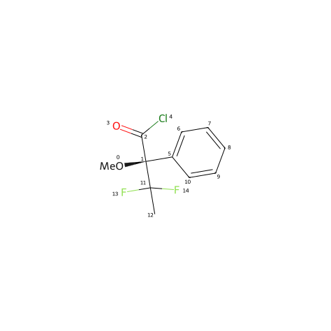 CO[C@@](C(=O)Cl)(c1ccccc1)C(C)(F)F